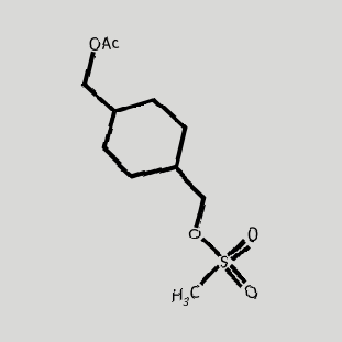 CC(=O)OCC1CCC(COS(C)(=O)=O)CC1